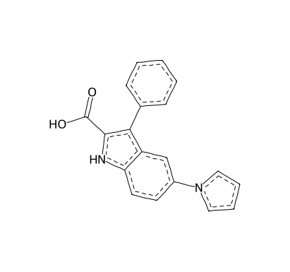 O=C(O)c1[nH]c2ccc(-n3cccc3)cc2c1-c1ccccc1